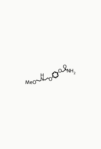 COCCNCCOc1ccc(OCC(N)=O)cc1